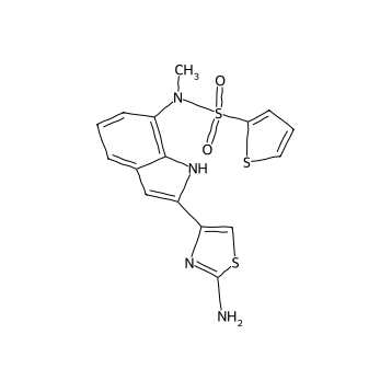 CN(c1cccc2cc(-c3csc(N)n3)[nH]c12)S(=O)(=O)c1cccs1